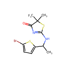 CC(NC1=NC(=O)C(C)(C(F)(F)F)S1)c1ccc(Br)s1